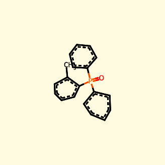 Cc1ccccc1P(=O)(c1ccccc1)c1ccccc1